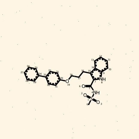 CS(=O)(=O)NC(=O)c1[nH]c2ccccc2c1CCCOc1ccc(-c2ccccc2)cc1